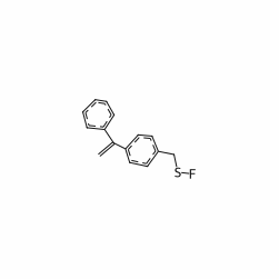 C=C(c1ccccc1)c1ccc(CSF)cc1